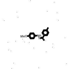 COc1ccc(NN=C(C)c2ccc(C)cc2)cc1